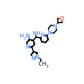 CCn1cc(-c2cc(C(=N)c3cccc(N4CCN(C5COC5)CC4)n3)c(N)cn2)cn1